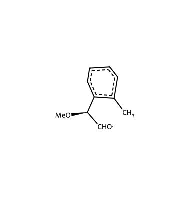 CO[C@H]([C]=O)c1ccccc1C